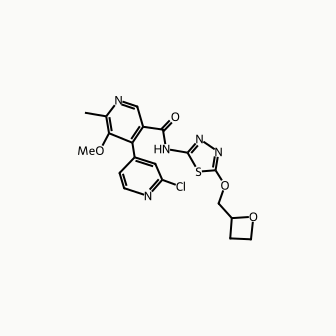 COc1c(C)ncc(C(=O)Nc2nnc(OCC3CCO3)s2)c1-c1ccnc(Cl)c1